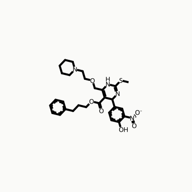 CSC1=NC(c2ccc(O)c([N+](=O)[O-])c2)C(C(=O)OCCCc2ccccc2)=C(COCCN2CCCCC2)N1